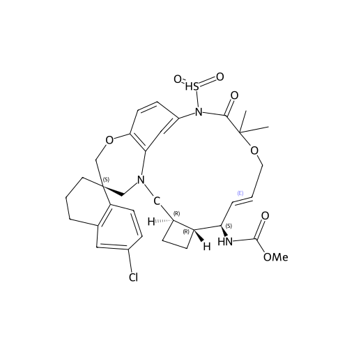 COC(=O)N[C@@H]1/C=C/COC(C)(C)C(=O)N([SH](=O)=O)c2ccc3c(c2)N(C[C@@H]2CC[C@H]21)C[C@@]1(CCCc2cc(Cl)ccc21)CO3